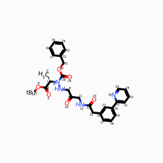 C[C@@H](C(=O)OC(C)(C)C)N(NCC(=O)CNC(=O)Cc1cccc(-c2ccccn2)c1)C(=O)OCc1ccccc1